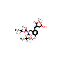 COC(=O)/C(=C/c1ccc(OC)cc1CN(C(=O)OC(C)(C)C)C(=O)OC(C)(C)C)CC(=O)O